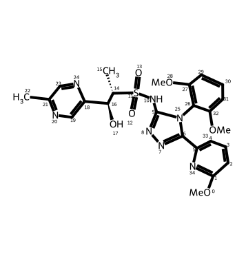 COc1cccc(-c2nnc(NS(=O)(=O)[C@@H](C)[C@@H](O)c3cnc(C)cn3)n2-c2c(OC)cccc2OC)n1